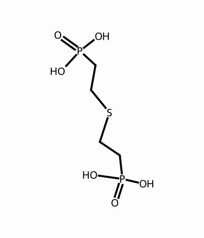 O=P(O)(O)CCSCCP(=O)(O)O